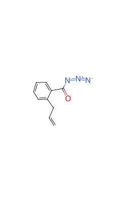 C=CCc1ccccc1C(=O)N=[N+]=[N-]